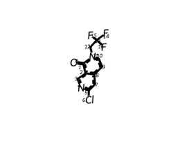 O=c1c2cnc(Cl)cc2ccn1CC(F)(F)F